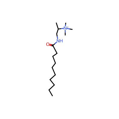 CCCCCCCCCC(=O)NCC(C)[N+](C)(C)C